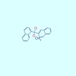 COC([O])(c1ccc2ccccc2c1)c1cccc2ccccc12